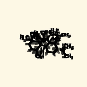 C=C(C)[C@@H]1CC[C@H]2[C@@]34COC5(OC(C)(C)O[C@H]1[C@@]25C(C)=O)[C@@H](O)[C@@H]3C(C)(C)CC[C@@H]4O